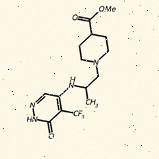 COC(=O)C1CCN(CC(C)Nc2cn[nH]c(=O)c2C(F)(F)F)CC1